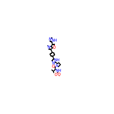 COC(=O)N[C@H](C(=O)N1CCCC1c1ncc(-c2ccc(-c3cn(C)c4c(-c5cnc[nH]5)coc34)cc2)[nH]1)C(C)C